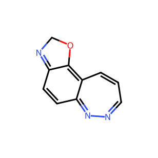 C1=Cc2c3c(ccc2=NN=C1)=NCO3